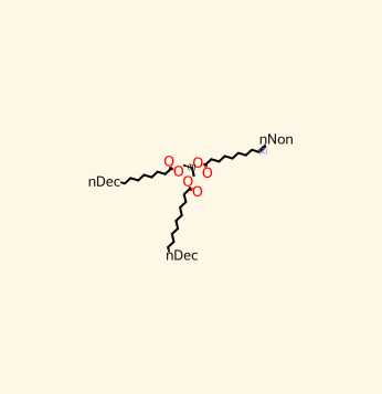 CCCCCCCCC/C=C\CCCCCCCC(=O)O[C@H](COC(=O)CCCCCCCCCCCCCCCCC)COC(=O)CCCCCCCCCCCCCCCCCCC